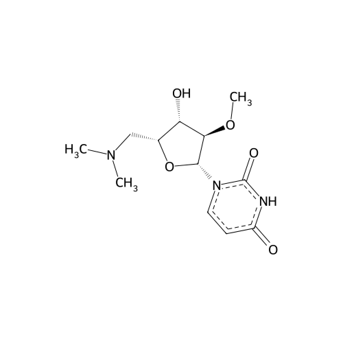 CO[C@@H]1[C@@H](O)[C@@H](CN(C)C)O[C@H]1n1ccc(=O)[nH]c1=O